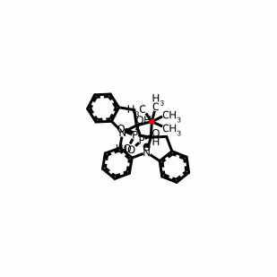 CC(C)C1(P(=O)(O)O)Cc2ccccc2N1c1ccccc1N1c2ccccc2CC1(C(C)C)P(=O)(O)O